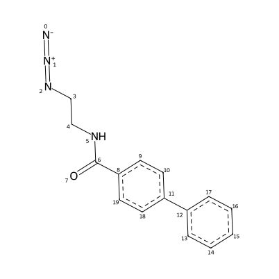 [N-]=[N+]=NCCNC(=O)c1ccc(-c2ccccc2)cc1